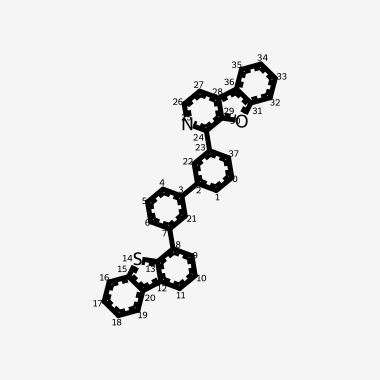 c1cc(-c2cccc(-c3cccc4c3sc3ccccc34)c2)cc(-c2nccc3c2oc2ccccc23)c1